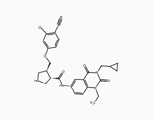 CCn1c(=O)n(CC2CC2)c(=O)c2cc(NC(=O)[C@H]3CNC[C@H]3COc3ccc(C#N)c(Cl)c3)ccc21